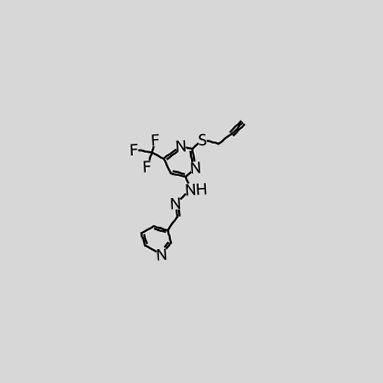 C#CCSc1nc(NN=Cc2cccnc2)cc(C(F)(F)F)n1